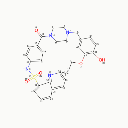 CCOc1cc(CN2CCN(C(=O)c3ccc(NS(=O)(=O)c4cccc5cccnc45)cc3)CC2)ccc1O